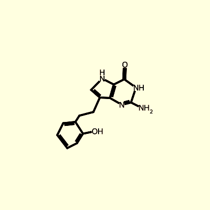 Nc1nc2c(CCc3ccccc3O)c[nH]c2c(=O)[nH]1